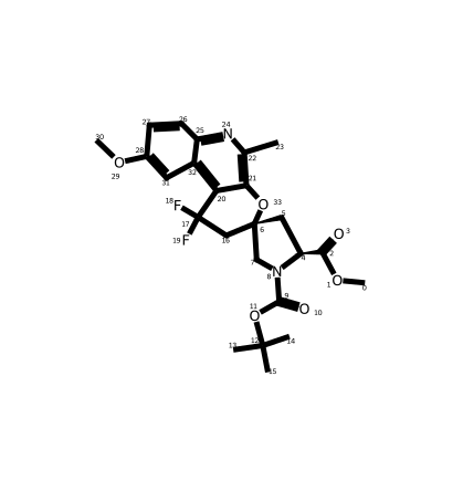 COC(=O)[C@@H]1C[C@@]2(CN1C(=O)OC(C)(C)C)CC(F)(F)c1c(c(C)nc3ccc(OC)cc13)O2